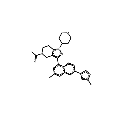 CC(=O)N1CCc2c(c(-c3cc(C)cc4cc(-c5cnn(C)c5)ncc34)nn2C2CCOCC2)C1